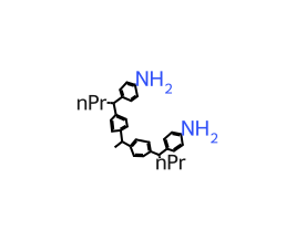 CCCC(c1ccc(N)cc1)c1ccc(C(C)c2ccc(C(CCC)c3ccc(N)cc3)cc2)cc1